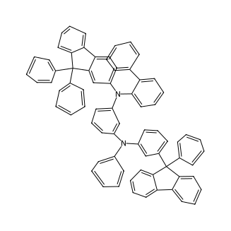 c1ccc(-c2ccccc2N(c2cccc(N(c3ccccc3)c3cccc(C4(c5ccccc5)c5ccccc5-c5ccccc54)c3)c2)c2ccc3c(c2)C(c2ccccc2)(c2ccccc2)c2ccccc2-3)cc1